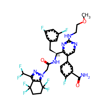 COCCNc1ncc(-c2ccc(F)c(C(N)=O)c2)c([C@H](Cc2cc(F)cc(F)c2)NC(=O)Cn2nc(C(F)F)c3c2C(F)(F)CCC3(F)F)n1